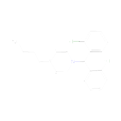 N#CCCCC1CCN(C(c2ccccc2Cl)c2ccccc2Cl)CC1